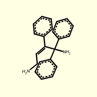 NCC=C(c1ccccc1)C(N)(c1ccccc1)c1ccccc1